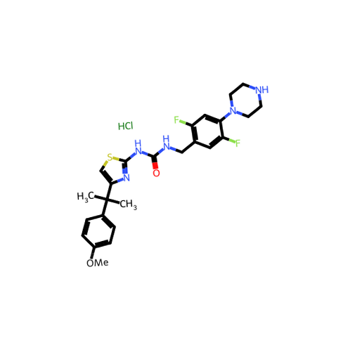 COc1ccc(C(C)(C)c2csc(NC(=O)NCc3cc(F)c(N4CCNCC4)cc3F)n2)cc1.Cl